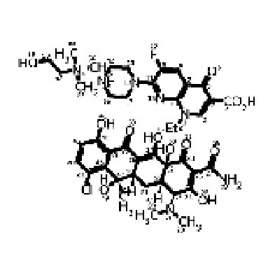 CCn1cc(C(=O)O)c(=O)c2cc(F)c(N3CCNCC3)nc21.CN(C)[C@@H]1C(O)=C(C(N)=O)C(=O)[C@@]2(O)C(O)=C3C(=O)c4c(O)ccc(Cl)c4[C@@](C)(O)[C@H]3C[C@@H]12.C[N+](C)(C)CCO